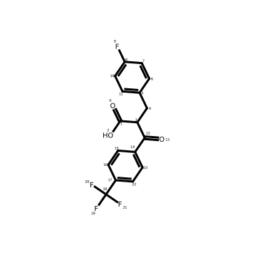 O=C(O)C(Cc1ccc(F)cc1)C(=O)c1ccc(C(F)(F)F)cc1